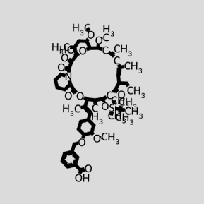 CCC1/C=C(\C)CC(C)CC(OC)C2OC(O)(C(=O)C(=O)N3CCCCC3C(=O)OC(C(C)=CC3CCC(OCc4cccc(C(=O)O)c4)C(OC)C3)C(C)C(O[Si](C)(C)C(C)(C)C)CC1=O)C(C)CC2OC